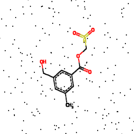 Cc1cc(CO)cc(C(=O)OC[SH](=O)=O)c1